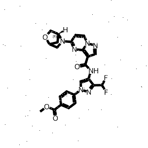 COC(=O)c1ccc(-n2cc(NC(=O)c3cnn4ccc(N5CC6C[C@@H]5CO6)nc34)c(C(F)F)n2)cc1